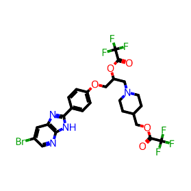 O=C(OCC1CCN(CC(COc2ccc(-c3nc4cc(Br)cnc4[nH]3)cc2)OC(=O)C(F)(F)F)CC1)C(F)(F)F